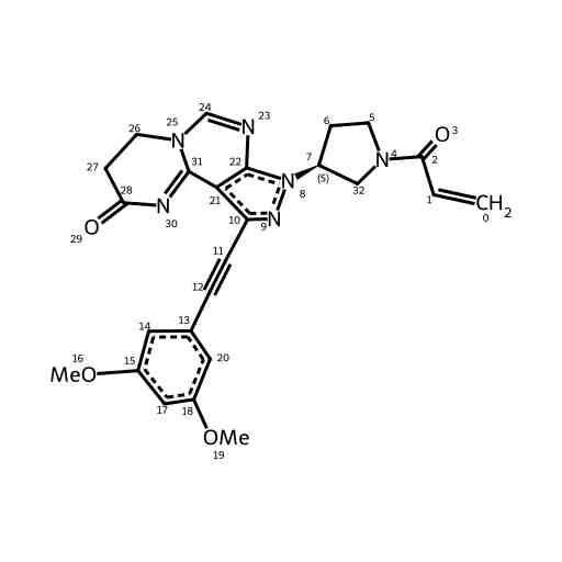 C=CC(=O)N1CC[C@H](n2nc(C#Cc3cc(OC)cc(OC)c3)c3c2N=CN2CCC(=O)N=C32)C1